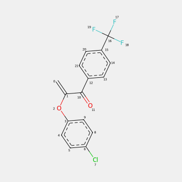 C=C(Oc1ccc(Cl)cc1)C(=O)c1ccc(C(F)(F)F)cc1